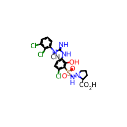 N#CN(C(=N)Nc1ccc(Cl)c(S(=O)(=O)NN2CCC[C@H]2C(=O)O)c1O)c1cccc(Cl)c1Cl